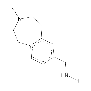 CN1CCc2ccc(CNI)cc2CC1